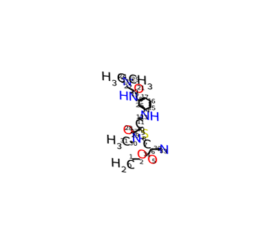 C=CCOC(=O)C(=C=c1sc(=C=CNc2cccc(NC(=O)CN(C)C)c2)c(=O)n1CC)C#N